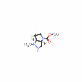 CN1NC[C@H]2[C@@H]1C(F)(F)CN2C(=O)OC(C)(C)C